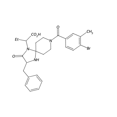 CCC(C(=O)O)N1C(=O)C(Cc2ccccc2)NC12CCN(C(=O)c1ccc(Br)c(C)c1)CC2